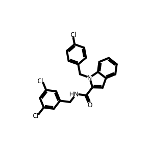 O=C(NCc1cc(Cl)cc(Cl)c1)c1cc2ccccc2n1Cc1ccc(Cl)cc1